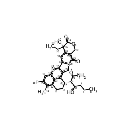 CCCC(O)C(C(N)=O)[C@@H]1CCc2c(C)c(F)cc3nc4c(c1c23)Cn1c-4cc2c(c1=O)COC(=O)[C@]2(O)CC